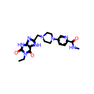 CCn1c(=O)[nH]c2nc(CN3CCN(c4ccc(C(=O)NC)nc4)CC3)[nH]c2c1=O